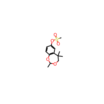 CC1OCC(C)(C)c2cc(OS(C)(=O)=O)ccc2O1